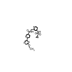 CCOc1cncc(-c2ccc(C(=O)NCc3cc(NS(=O)(=O)C4CC4)ccn3)cn2)n1